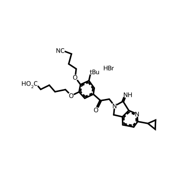 Br.CC(C)(C)c1cc(C(=O)CN2Cc3ccc(C4CC4)nc3C2=N)cc(OCCCCC(=O)O)c1OCCCC#N